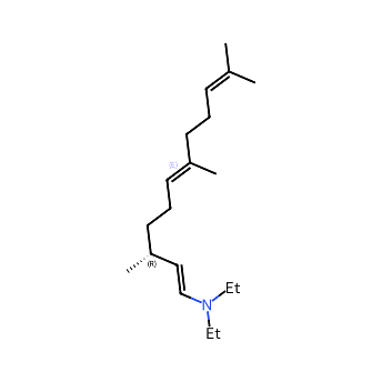 CCN(C=C[C@H](C)CC/C=C(\C)CCC=C(C)C)CC